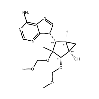 COCO[C@@H]1C(C)(OCOC)[C@H](n2cnc3c(N)ncnc32)[C@H]2C[C@]21O